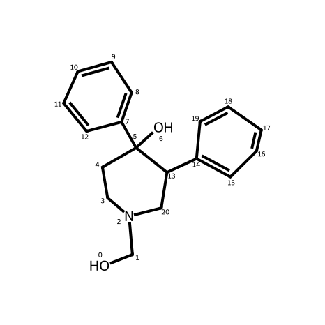 OCN1CCC(O)(c2ccccc2)C(c2ccccc2)C1